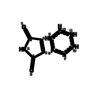 O=C1C=CC(=O)N1.n1p[nH][pH][nH][pH]1